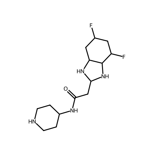 O=C(CC1NC2CC(F)CC(F)C2N1)NC1CCNCC1